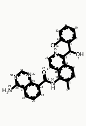 Cc1ccc2c(C(O)c3ccccc3Cl)nccc2c1NC(=O)c1cccc2c(N)ncnc12